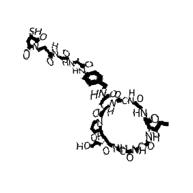 CC[C@H](C)[C@@H]1NC(=O)CNC(=O)CNC(=O)[C@H](C[C@@H](O)CO)CC2CCCN2C(=O)[C@H](CC(=O)NCc2ccc(NC(=O)[C@H](C)NC(=O)CNC(=O)CCN3C(=O)CC(S)C3=O)cc2)NC(=O)CNC(=O)CNC1=O